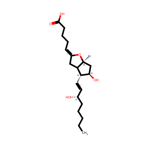 CCCCC[C@H](O)/C=C/[C@@H]1C2C/C(=C/CCCC(=O)O)O[C@H]2C[C@H]1O